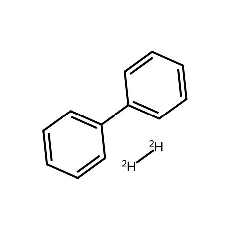 [2H][2H].c1ccc(-c2ccccc2)cc1